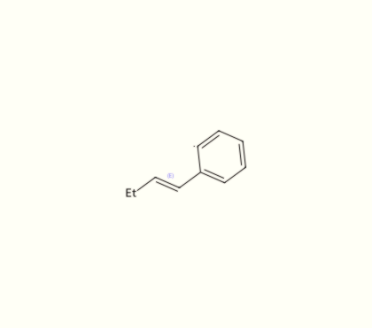 CC/C=C/c1[c]cccc1